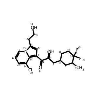 CC1CC(CC(=N)C(=O)c2cc(CCO)n3cccc(Cl)c23)CCC1(F)F